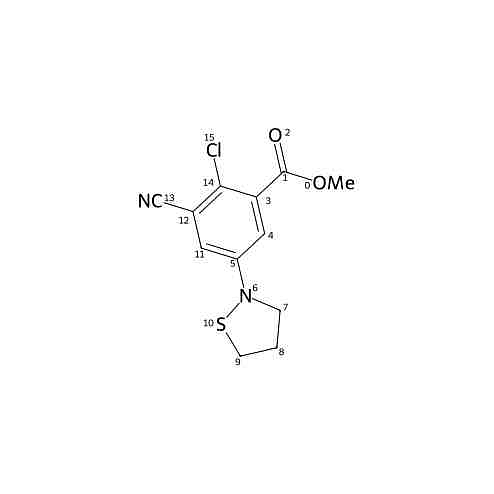 COC(=O)c1cc(N2CCCS2)cc(C#N)c1Cl